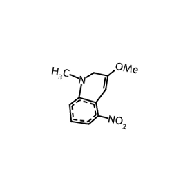 COC1=Cc2c(cccc2[N+](=O)[O-])N(C)C1